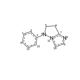 c1ccc(N2CCc3nccn32)cc1